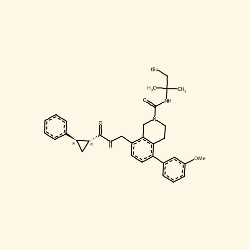 COc1cccc(-c2ccc(CNC(=O)[C@@H]3C[C@H]3c3ccccc3)c3c2CCN(C(=O)NC(C)(C)CC(C)(C)C)C3)c1